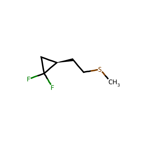 CSCC[C@@H]1CC1(F)F